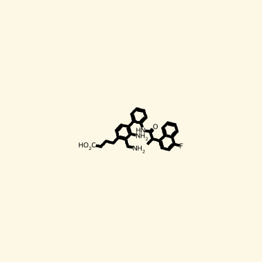 CC(C(=O)Nc1ccccc1-c1ccc(CCCC(=O)O)c(CN)c1N)c1ccc(F)c2ccccc12